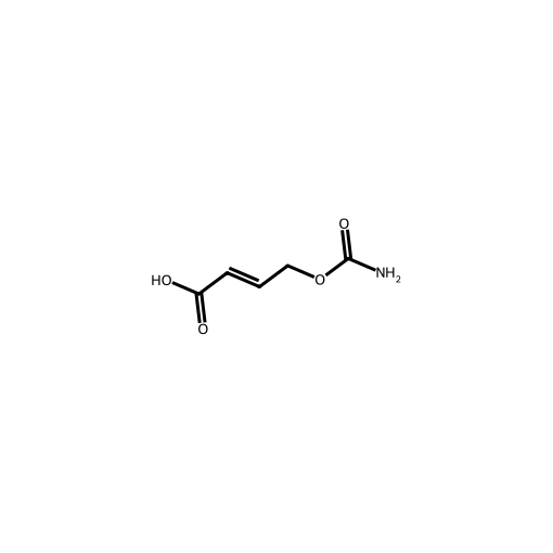 NC(=O)OCC=CC(=O)O